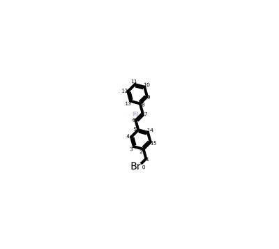 BrCc1ccc(/C=C/c2ccccc2)cc1